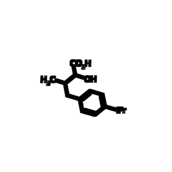 CC(C)c1ccc(CC(C)C(O)C(=O)O)cc1